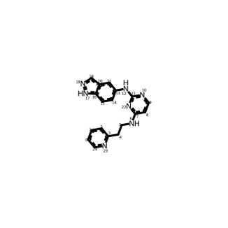 c1ccc(CCNc2ccnc(Nc3ccc4[nH]ncc4c3)n2)nc1